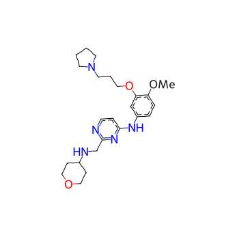 COc1ccc(Nc2ccnc(CNC3CCOCC3)n2)cc1OCCCN1CCCC1